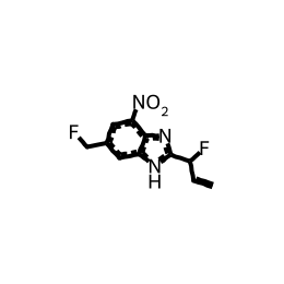 C=CC(F)c1nc2c([N+](=O)[O-])cc(CF)cc2[nH]1